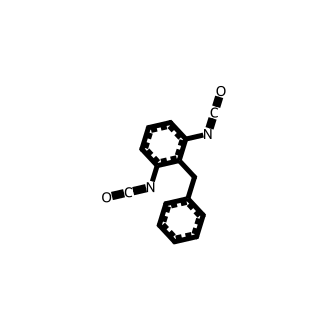 O=C=Nc1cccc(N=C=O)c1Cc1ccccc1